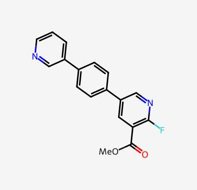 COC(=O)c1cc(-c2ccc(-c3cccnc3)cc2)cnc1F